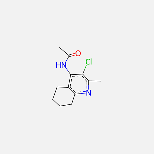 CC(=O)Nc1c(Cl)c(C)nc2c1CCCC2